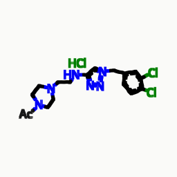 CC(=O)N1CCN(CCNc2cn(Cc3ccc(Cl)c(Cl)c3)nn2)CC1.Cl